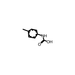 Cc1ccc(NC(=O)O)cc1